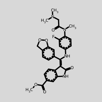 COC(=O)c1ccc2c(c1)NC(=O)/C2=C(\Nc1ccc(N(C)C(=O)CN(C)C)c(F)c1)c1ccc2c(c1)OOC2